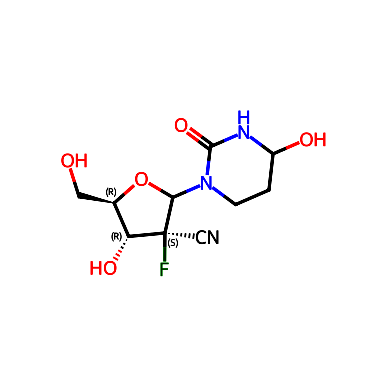 N#C[C@@]1(F)C(N2CCC(O)NC2=O)O[C@H](CO)[C@H]1O